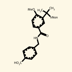 CCCCCCCCCC(C)(C)c1cc(C(=O)NCc2ccc(C(=O)O)cc2)ccc1OC